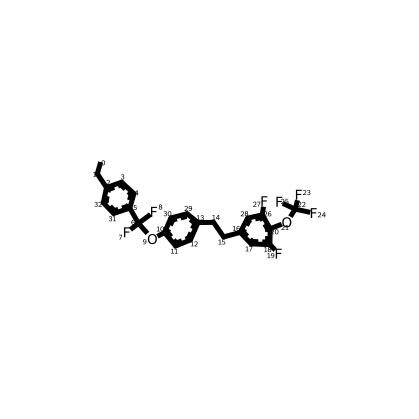 CCc1ccc(C(F)(F)Oc2ccc(CCc3cc(F)c(OC(F)(F)F)c(F)c3)cc2)cc1